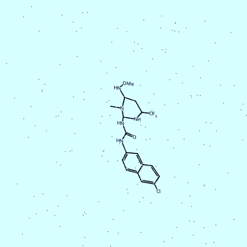 CONC1CC(C(F)(F)F)NC(NC(=O)Nc2ccc3cc(Cl)ccc3c2)N1C